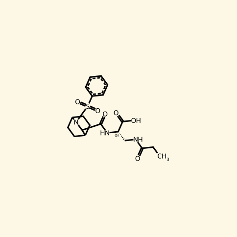 CCC(=O)NC[C@H](NC(=O)C1C2CCC(CC2)N1S(=O)(=O)c1ccccc1)C(=O)O